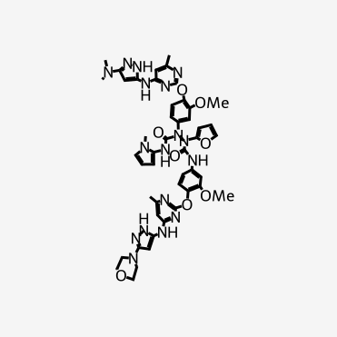 COc1cc(N(C(=O)Nc2cccn2C)N(C(=O)Nc2ccc(Oc3nc(C)cc(Nc4cc(N5CCOCC5)n[nH]4)n3)c(OC)c2)c2ccco2)ccc1Oc1nc(C)cc(Nc2cc(N(C)C)n[nH]2)n1